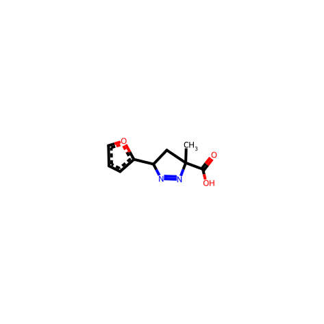 CC1(C(=O)O)CC(c2ccco2)N=N1